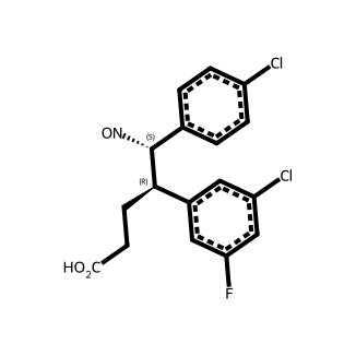 O=N[C@H](c1ccc(Cl)cc1)[C@H](CCC(=O)O)c1cc(F)cc(Cl)c1